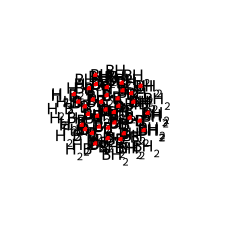 BBB(B)B(B(B(B)B)B(B)B)B(B(B(B)B)B(B)B)B(B(B(B(B(B)B)B(B)B)B(B(B)B)B(B)B)B(B(B(B)B)B(B)B)B(B(B)B)B(B)B)B(B(B(B(B(B)B)B(B)B)B(B(B)B)B(B)B)B(B(B(B)B)B(B)B)B(B(B)B)B(B)B)B(B(B(B(B)B)B(B)B)B(B(B)B)B(B)B)B(B(B(B)B)B(B)B)B(B(B)B)B(B)B